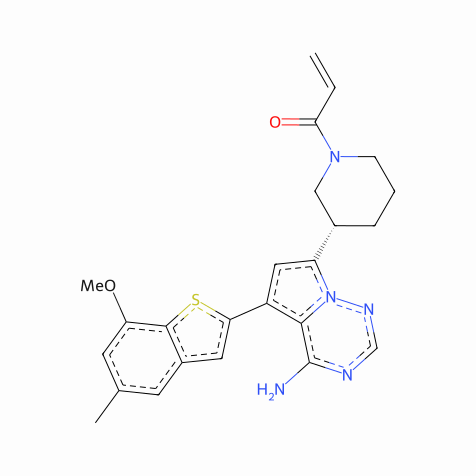 C=CC(=O)N1CCC[C@H](c2cc(-c3cc4cc(C)cc(OC)c4s3)c3c(N)ncnn23)C1